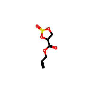 C=CCOC(=O)C1COS(=O)O1